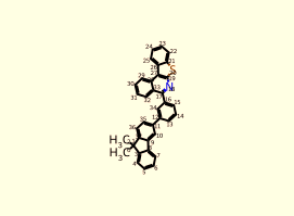 CC1(C)c2ccccc2-c2cc(-c3cccc(-c4nc5sc6ccccc6c5c5ccccc45)c3)ccc21